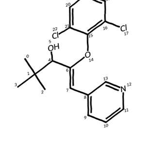 CC(C)(C)C(O)C(=Cc1cccnc1)Oc1c(Cl)cccc1Cl